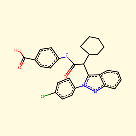 O=C(O)c1ccc(NC(=O)C(c2c3ccccc3nn2-c2ccc(Cl)cc2)C2CCCCC2)cc1